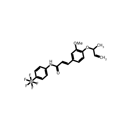 C=CC(C)Oc1ccc(C=CC(=O)Nc2ccc(S(F)(F)(F)(F)F)cc2)cc1OC